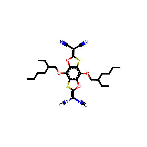 [C-]#[N+]C([N+]#[C-])=C1Oc2c(OCC(CC)CCCC)c3c(c(OCC(CC)CCCC)c2S1)OC(=C(C#N)C#N)S3